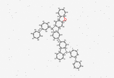 c1ccc(-c2cccc(C3c4ccccc4-c4cc(-c5ccc6c(c5)-c5cc7oc8ccccc8c7cc5C6c5cccc(-c6ccccc6)c5)ccc43)c2)cc1